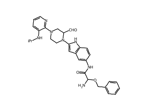 CC(C)Nc1cccnc1N1CCN(c2cc3cc(NC(=O)C(N)OCc4ccccc4)ccc3[nH]2)C(C=O)C1